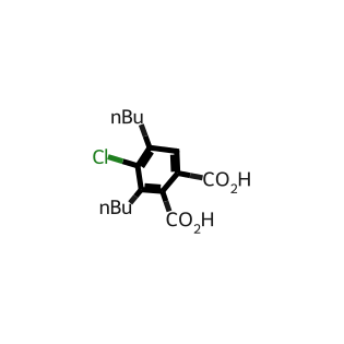 CCCCc1cc(C(=O)O)c(C(=O)O)c(CCCC)c1Cl